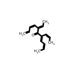 C=C/C=C\C(=C/C)C(=O)C(/C=C\C)=C/C=C\C